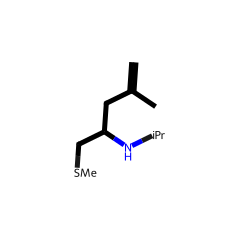 C=C(C)CC(CSC)NC(C)C